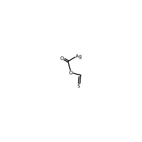 O=[C]([Ag])OC=S